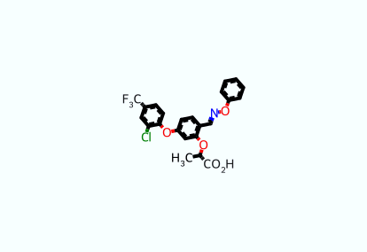 CC(Oc1cc(Oc2ccc(C(F)(F)F)cc2Cl)ccc1C=NOc1ccccc1)C(=O)O